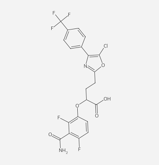 NC(=O)c1c(F)ccc(OC(CCc2nc(-c3ccc(C(F)(F)F)cc3)c(Cl)o2)C(=O)O)c1F